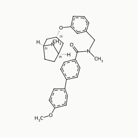 COc1ccc(-c2ccc(C(=O)N(C)Cc3cccc(O[C@@H]4C[C@H]5CC[C@@H](C4)N5C)c3)cc2)cc1